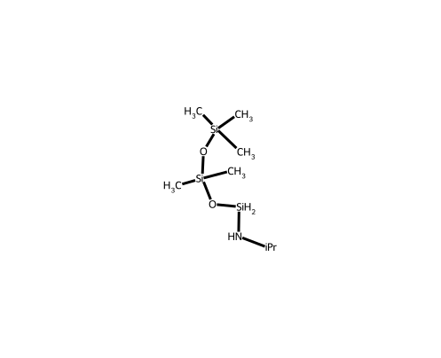 CC(C)N[SiH2]O[Si](C)(C)O[Si](C)(C)C